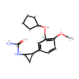 COc1ccc(C2CC2NC(N)=O)cc1OC1CCCC1